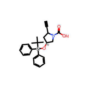 C#CC1C[C@H](O[Si](c2ccccc2)(c2ccccc2)C(C)(C)C)CN1C(=O)O